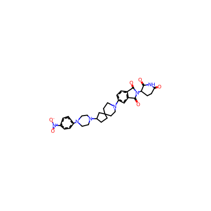 O=C1CCC(N2C(=O)c3ccc(N4CCC5(CCC(N6CCN(c7ccc([N+](=O)[O-])cc7)CC6)C5)CC4)cc3C2=O)C(=O)N1